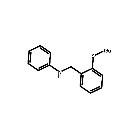 CC(C)(C)Sc1ccccc1CNc1[c]cccc1